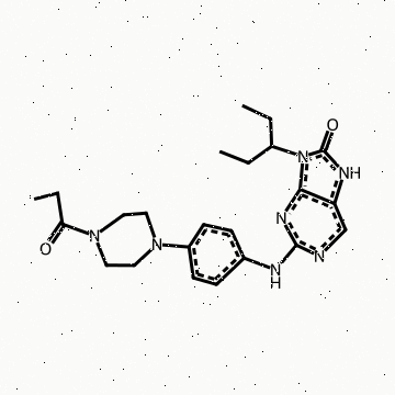 CCC(=O)N1CCN(c2ccc(Nc3ncc4[nH]c(=O)n(C(CC)CC)c4n3)cc2)CC1